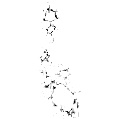 CC[C@H]1OC(=O)[C@H](C)[C@@H](O[C@H]2C[C@@](C)(OC)C[C@H](C)O2)C[C@@H](O[C@H]2C[C@@H](N(C)CCc3cn(CCCOc4ccc(-c5ccc(C)nc5)cc4)nn3)C[C@@H](C)O2)[C@](C)(O)C[C@@H](C)CN(C)[C@H](C)[C@@H](O)[C@]1(C)O